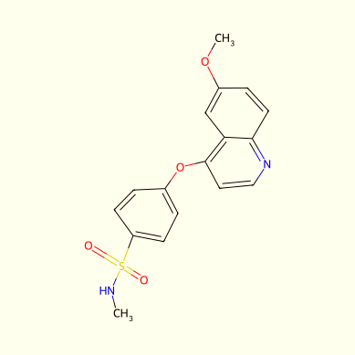 CNS(=O)(=O)c1ccc(Oc2ccnc3ccc(OC)cc23)cc1